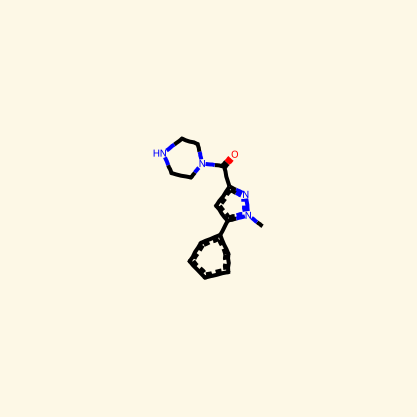 Cn1nc(C(=O)N2CCNCC2)cc1-c1ccccc1